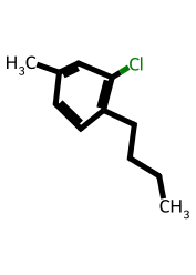 CCCCc1ccc(C)cc1Cl